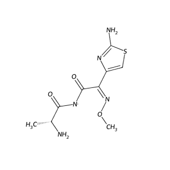 CON=C(C(=O)[N]C(=O)[C@@H](C)N)c1csc(N)n1